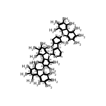 Bc1c(B)c(B)c2c(c1B)c1c(B)c(B)c(B)c(B)c1n2-c1ccc2sc3c(-n4c5c(B)c(B)c(B)c(B)c5c5c(B)c(-n6c7c(B)c(B)c(B)c(B)c7c7c(B)c(B)c(B)c(B)c76)c(B)c(B)c54)nccc3c2c1